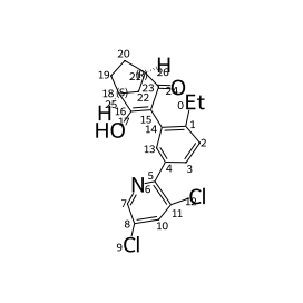 CCc1ccc(-c2ncc(Cl)cc2Cl)cc1C1=C(O)[C@H]2CC[C@H](C2)C1=O